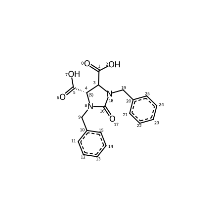 O=C(O)C1[C@@H](C(=O)O)N(Cc2ccccc2)C(=O)N1Cc1ccccc1